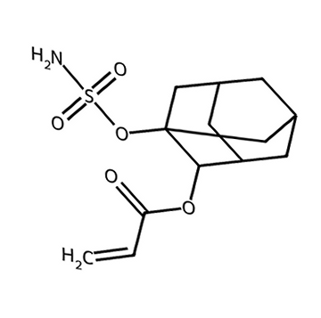 C=CC(=O)OC1C2CC3CC(C2)CC1(OS(N)(=O)=O)C3